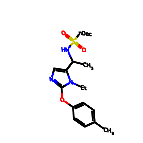 CCCCCCCCCCS(=O)(=O)NC(C)c1cnc(Oc2ccc(C)cc2)n1CC